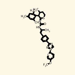 C/C(=C\c1ccc(-c2ncn(-c3ccc(OC(F)(F)F)cc3)n2)cc1)NC(=O)/N=C1\SCCC(C)C1c1c(C)cc(C)cc1C